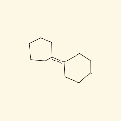 [CH]1CCC(=C2CCCCC2)CC1